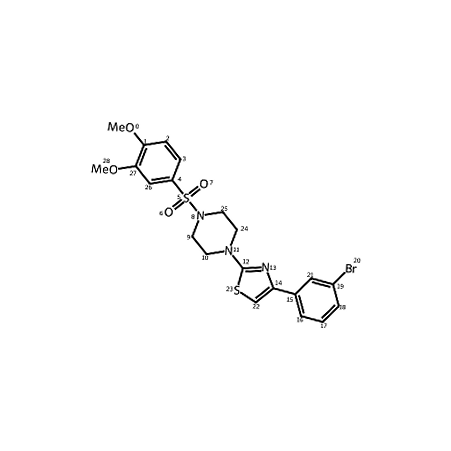 COc1ccc(S(=O)(=O)N2CCN(c3nc(-c4cccc(Br)c4)cs3)CC2)cc1OC